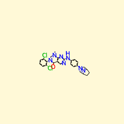 CN1CN(c2c(Cl)cccc2Cl)C(=O)c2cnc(Nc3ccc(N4CC5CCC(C4)N5C)cc3)nc21